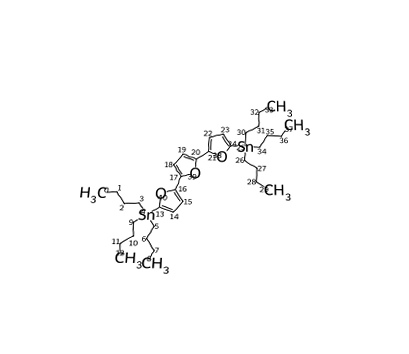 CCC[CH2][Sn]([CH2]CCC)([CH2]CCC)[c]1ccc(-c2ccc(-c3cc[c]([Sn]([CH2]CCC)([CH2]CCC)[CH2]CCC)o3)o2)o1